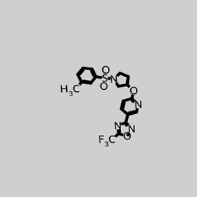 Cc1cccc(S(=O)(=O)N2CCC(Oc3ccc(-c4noc(C(F)(F)F)n4)cn3)C2)c1